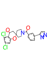 O=C1CC2(CCN(C(=O)c3cccc(-c4cc[nH]n4)c3)CC2)Oc2cc(Cl)cc(Cl)c21